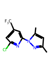 Cc1cc(C)n(-c2cc(C(F)(F)F)cc(Cl)n2)n1